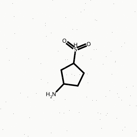 NC1CCC([SH](=O)=O)C1